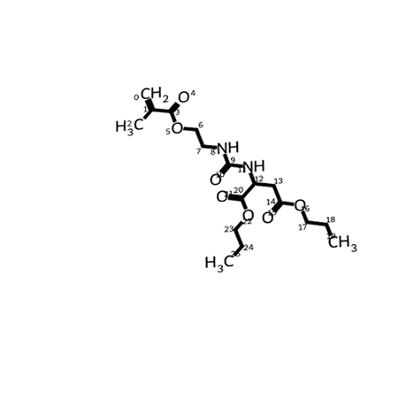 C=C(C)C(=O)OCCNC(=O)NC(CC(=O)OCCC)C(=O)OCCC